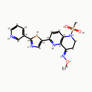 CCO/N=C1\CCN(S(C)(=O)=O)c2ccc(-c3cnc(-c4cccnc4)s3)nc21